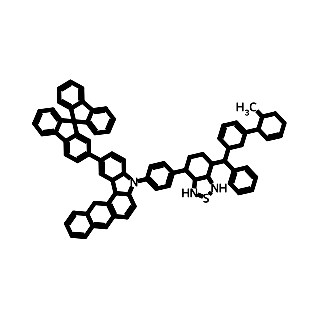 CC1CCC=CC1C1=CC=CC(C(c2ccccc2)C2CCC(c3ccc(N4C5C=CC(c6ccc7c(c6)C6(c8ccccc8-c8ccccc86)c6ccccc6-7)=CC5C5C6=C(C=CC54)C=C4C=CC=CC4C6)cc3)C3NSNC23)C1